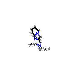 CCCCCCN(CCC)Cc1cn2ccccc2n1